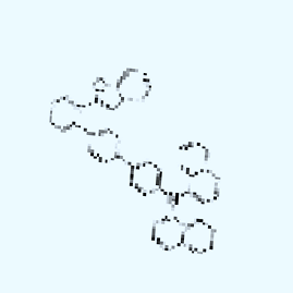 c1ccc(-c2cc3ccccc3o2)c(-c2ccc(-c3ccc(N(c4cccc5ccccc45)c4cccc5ccccc45)cc3)cc2)c1